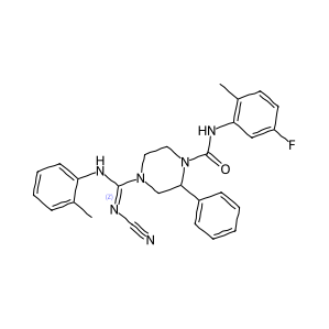 Cc1ccc(F)cc1NC(=O)N1CCN(/C(=N\C#N)Nc2ccccc2C)CC1c1ccccc1